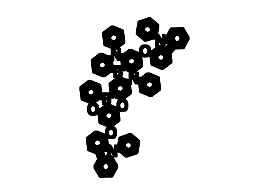 c1ccc(N2c3ccccc3B3c4cc5c(cc4N(c4ccccc4)c4cc(Oc6cccc7c8ccccc8n(-c8ccccc8)c67)cc2c43)Oc2cc(Oc3cccc4c6ccccc6n(-c6ccccc6)c34)cc3c2B5c2ccccc2O3)cc1